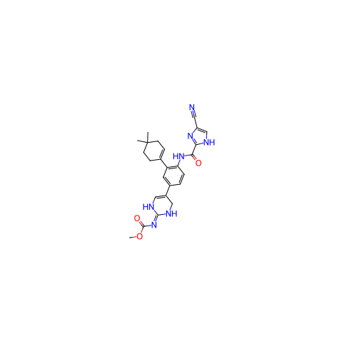 COC(=O)N=C1NC=C(c2ccc(NC(=O)c3nc(C#N)c[nH]3)c(C3=CCC(C)(C)CC3)c2)CN1